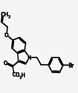 C=CCOc1ccc2c(c1)c(C(=O)C(=O)O)cn2CCc1ccc(Br)cc1